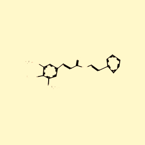 COc1cc(/C=C/C(=O)O/C=C/c2ccccc2)cc(OC)c1OC(C)=O